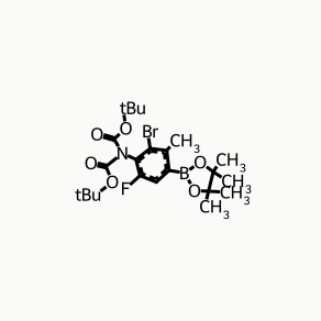 Cc1c(B2OC(C)(C)C(C)(C)O2)cc(F)c(N(C(=O)OC(C)(C)C)C(=O)OC(C)(C)C)c1Br